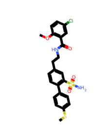 COc1ccc(Cl)cc1C(=O)NCCc1ccc(-c2ccc(SC)cc2)c(S(N)(=O)=O)c1